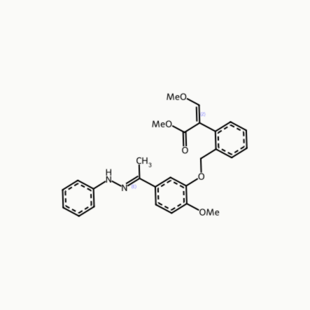 CO/C=C(\C(=O)OC)c1ccccc1COc1cc(/C(C)=N/Nc2ccccc2)ccc1OC